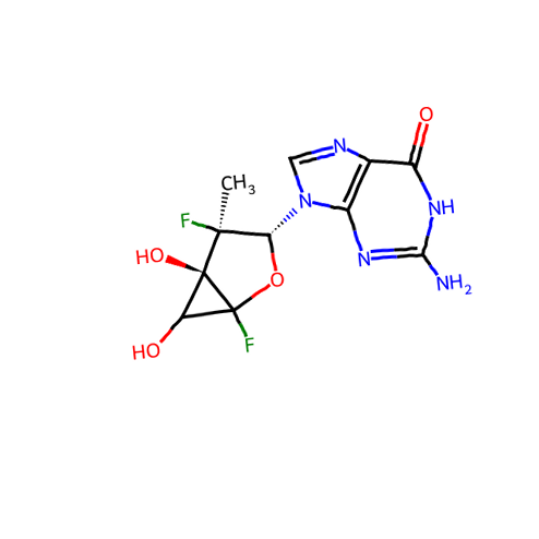 C[C@]1(F)[C@H](n2cnc3c(=O)[nH]c(N)nc32)OC2(F)C(O)[C@@]21O